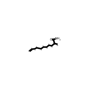 C=CCCCCCCCC(C)C(N)=O